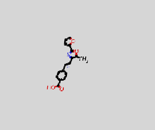 Cc1oc(-c2ccco2)nc1/C=C/c1ccc(C(=O)O)cc1